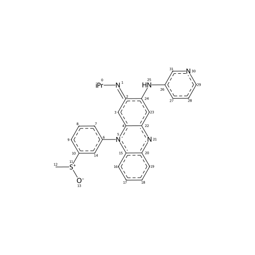 CC(C)/N=c1\cc2n(-c3cccc([S+](C)[O-])c3)c3ccccc3nc-2cc1Nc1cccnc1